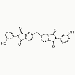 O=C1c2ccc(Cc3ccc4c(c3)C(=O)N(c3cccc(O)c3)C4=O)cc2C(=O)N1c1cccc(O)c1